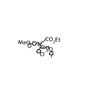 CCOC(=O)CCCCN(Cc1ccc(C(=O)OC)cc1)C[C@H](OCc1ccc(Oc2ccc(C)cc2)s1)c1cccc(Cl)c1